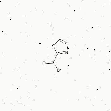 O=C(Br)c1nccs1